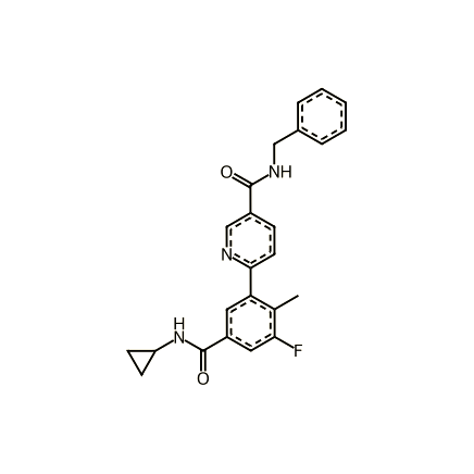 Cc1c(F)cc(C(=O)NC2CC2)cc1-c1ccc(C(=O)NCc2ccccc2)cn1